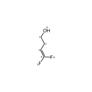 OCCC=C(F)F